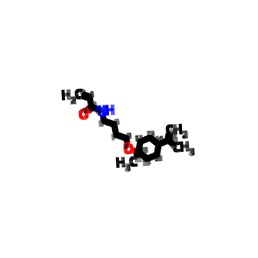 C=CC(=O)NCCCCOC1(C)CCC(C(=C)C)CC1